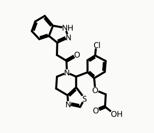 O=C(O)COc1ccc(Cl)cc1C1c2scnc2CCN1C(=O)Cc1n[nH]c2ccccc12